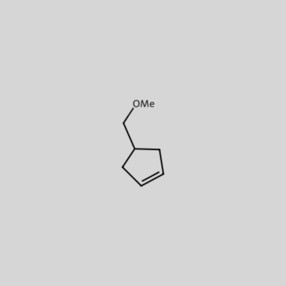 COCC1CC=CC1